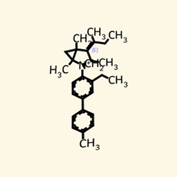 C=[N+](c1ccc(-c2ccc(C)cc2)cc1CC)C1(C)CC1(C)/C(CC)=C(\C)CC